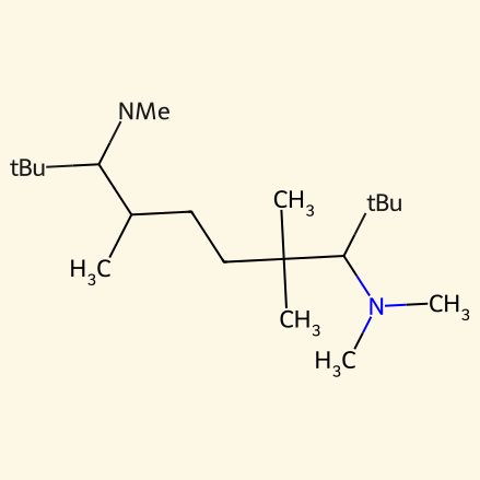 CNC(C(C)CCC(C)(C)C(N(C)C)C(C)(C)C)C(C)(C)C